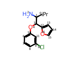 CC(C)C(N)C(Oc1cccc(Cl)c1)c1ccco1